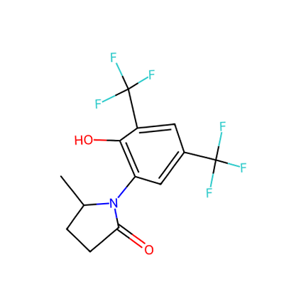 CC1CCC(=O)N1c1cc(C(F)(F)F)cc(C(F)(F)F)c1O